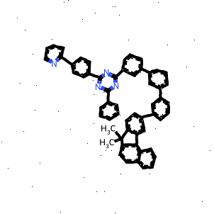 CC1(C)c2ccc(-c3cccc(-c4cccc(-c5cccc(-c6nc(-c7ccccc7)nc(-c7ccc(-c8ccccn8)cc7)n6)c5)c4)c3)cc2-c2c1ccc1ccccc21